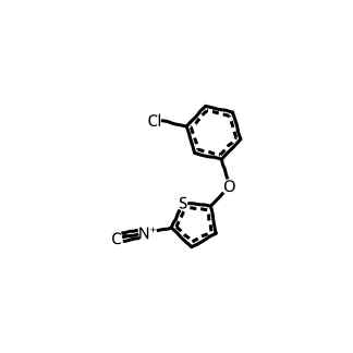 [C-]#[N+]c1ccc(Oc2cccc(Cl)c2)s1